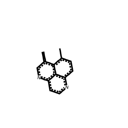 C=c1cnc2ccnc3ccc(C)c1c32